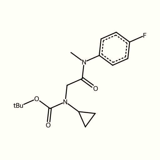 CN(C(=O)CN(C(=O)OC(C)(C)C)C1CC1)c1ccc(F)cc1